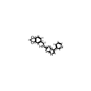 c1cncc(-c2cnc3sc(NCc4ccc5c(c4)OCO5)nn23)c1